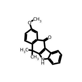 COc1ccc2c(c1)C(=O)c1c([nH]c3ccccc13)C2(C)C